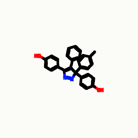 Cc1ccc(C2(c3ccc(O)cc3)N=NC(c3ccc(O)cc3)=C2c2ccccc2)cc1